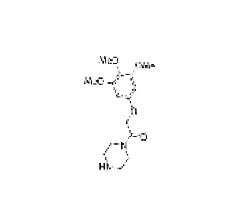 COc1cc(OCC(=O)N2CCNCC2)cc(OC)c1OC